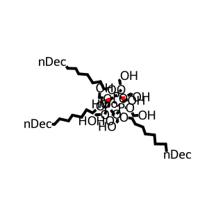 CCCCCCCCCCCCCCCCCO[P](CO)(OCO)(OCO)[Mo]([P](CO)(OCO)(OCO)OCCCCCCCCCCCCCCCCC)[P](CO)(OCO)(OCO)OCCCCCCCCCCCCCCCCC